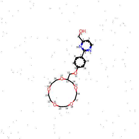 OCc1ccnc(-c2ccc(OCC3COCCOCCOCCOCCO3)cc2)n1